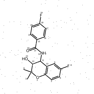 CC1(C)Oc2ccc(F)cc2C(NC(=O)c2ccc(F)cc2)C1O